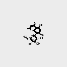 Cc1cc(=O)c2c(O)cc(O)c([C@@H]3O[C@H](CO)[C@@H](O)[C@H](O)[C@H]3O)c2o1